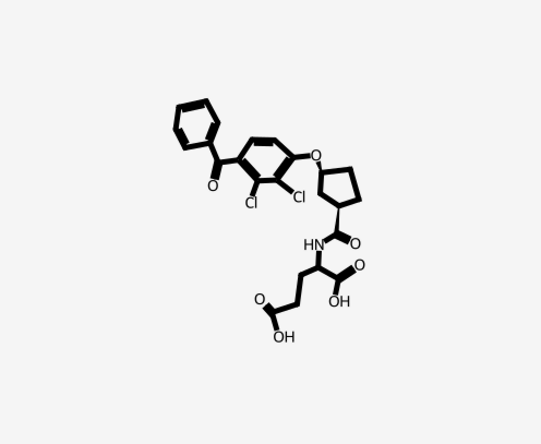 O=C(O)CCC(NC(=O)[C@@H]1CC[C@H](Oc2ccc(C(=O)c3ccccc3)c(Cl)c2Cl)C1)C(=O)O